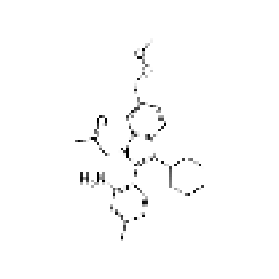 COOCc1ccc2c(C3CCCCC3)c(-c3ccc(C)cc3N)n(CC(C)=O)c2c1